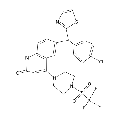 O=c1cc(N2CCN(S(=O)(=O)C(F)(F)F)CC2)c2cc(C(c3ccc(Cl)cc3)c3nccs3)ccc2[nH]1